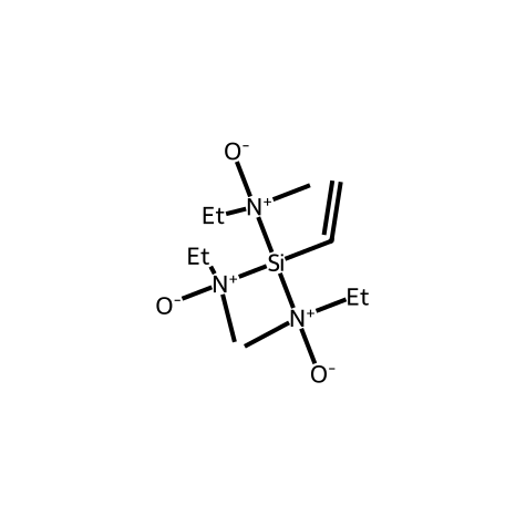 C=C[Si]([N+](C)([O-])CC)([N+](C)([O-])CC)[N+](C)([O-])CC